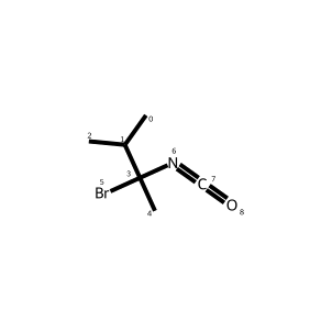 CC(C)C(C)(Br)N=C=O